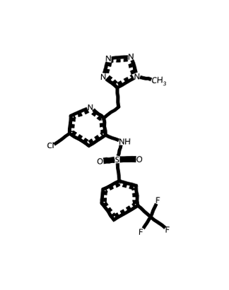 Cn1nnnc1Cc1ncc(Cl)cc1NS(=O)(=O)c1cccc(C(F)(F)F)c1